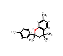 Cc1c[c]c(C2(C)CC(C)(C)c3ccc(C)cc3O2)cc1